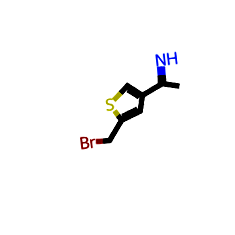 CC(=N)c1csc(CBr)c1